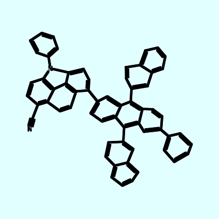 N#Cc1ccc2c3c1ccc1c(-c4ccc5c(-c6ccc7ccccc7c6)c6cc(-c7ccccc7)ccc6c(-c6ccc7ccccc7c6)c5c4)ccc(c13)n2-c1ccccc1